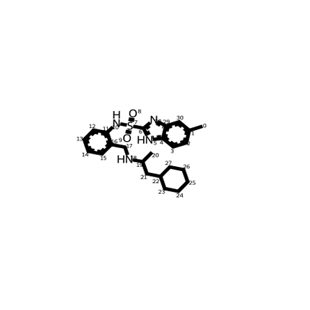 Cc1ccc2[nH]c(S(=O)(=O)Nc3ccccc3CNC(C)CC3CCCCC3)nc2c1